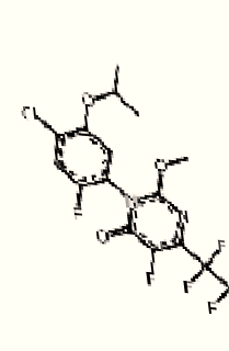 COc1nc(C(F)(F)C(F)(F)F)c(F)c(=O)n1-c1cc(OC(C)C)c(Cl)cc1F